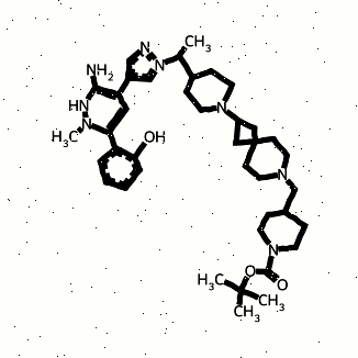 CC(C1CCN(C2CC3(CCN(CC4CCN(C(=O)OC(C)(C)C)CC4)CC3)C2)CC1)n1cc(C2=C(N)NN(C)C(c3ccccc3O)=C2)cn1